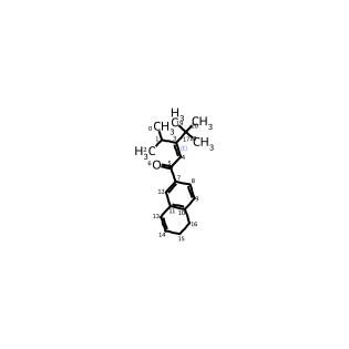 CC(C)/C(=C\C(=O)c1ccc2c(c1)C=CCC2)C(C)(C)C